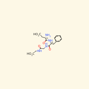 N[C@@H](CC(=O)O)C(=O)N[C@@H](Cc1ccccc1)C(=O)NCC(=O)NCC(=O)O